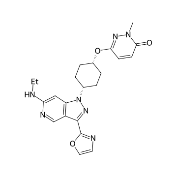 CCNc1cc2c(cn1)c(-c1ncco1)nn2[C@H]1CC[C@@H](Oc2ccc(=O)n(C)n2)CC1